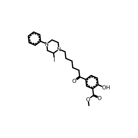 COC(=O)c1cc(C(=O)CCCCCN2CCN(c3ccccc3)CC2I)ccc1O